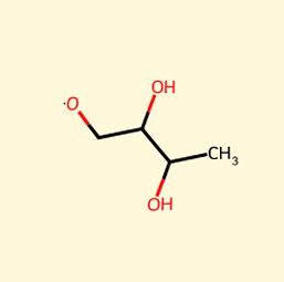 CC(O)C(O)C[O]